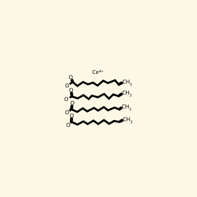 C=CCCCCCCCCC(=O)[O-].C=CCCCCCCCCC(=O)[O-].C=CCCCCCCCCC(=O)[O-].C=CCCCCCCCCC(=O)[O-].[Ce+4]